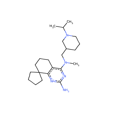 CC(C)N1CCCC(CN(C)c2nc(N)nc3c2CCCC32CCCC2)C1